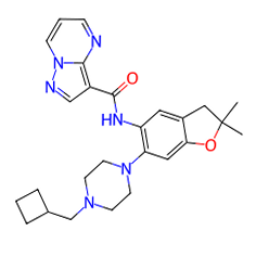 CC1(C)Cc2cc(NC(=O)c3cnn4cccnc34)c(N3CCN(CC4CCC4)CC3)cc2O1